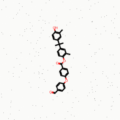 Cc1cc(C(C)(C)c2ccc(OC(=O)c3ccc(Oc4ccc(C=O)cc4)cc3)c(C)c2)ccc1O